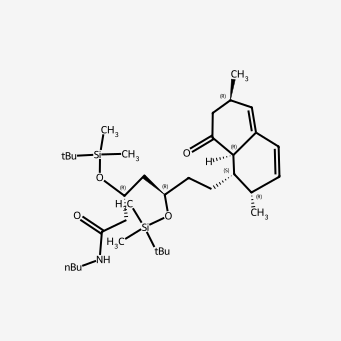 CCCCNC(=O)C[C@@H](C[C@@H](CC[C@@H]1[C@H]2C(=O)C[C@@H](C)C=C2C=C[C@@H]1C)O[Si](C)(C)C(C)(C)C)O[Si](C)(C)C(C)(C)C